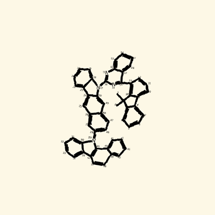 CC1(C)c2ccccc2-c2cccc(-c3nc(-n4c5ccccc5c5cc6cc(-n7c8ccccc8c8ccc9ccccc9c87)ccc6cc54)nc4ccccc34)c21